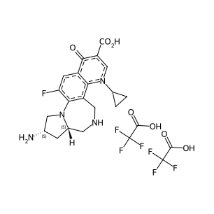 N[C@H]1C[C@H]2CNCc3c(c(F)cc4c(=O)c(C(=O)O)cn(C5CC5)c34)N2C1.O=C(O)C(F)(F)F.O=C(O)C(F)(F)F